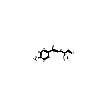 C=CC(N)C/C=C(\C)c1ccc(C#N)cc1